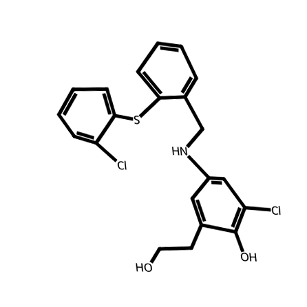 OCCc1cc(NCc2ccccc2Sc2ccccc2Cl)cc(Cl)c1O